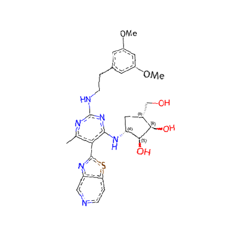 COc1cc(CCNc2nc(C)c(-c3nc4cnccc4s3)c(N[C@@H]3C[C@H](CO)[C@@H](O)[C@H]3O)n2)cc(OC)c1